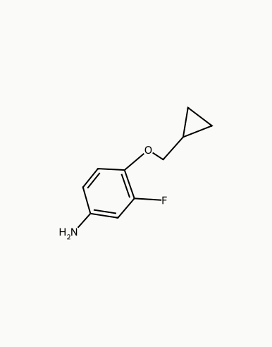 Nc1ccc(OCC2CC2)c(F)c1